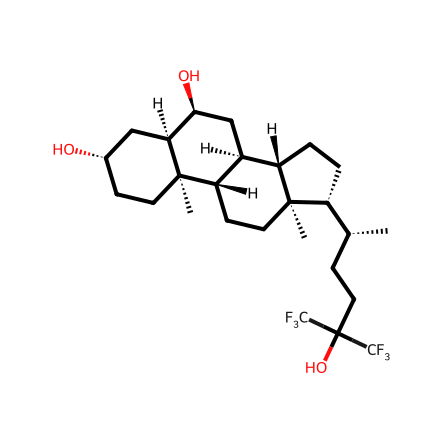 C[C@H](CCC(O)(C(F)(F)F)C(F)(F)F)[C@H]1CC[C@H]2[C@@H]3C[C@H](O)[C@@H]4C[C@@H](O)CC[C@]4(C)[C@H]3CC[C@]12C